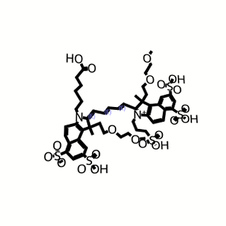 COCCOCCC1(C)C(/C=C/C=C/C=C2/N(CCCCCC(=O)O)c3ccc4c(S(=O)(=O)[O-])cc(S(=O)(=O)O)cc4c3C2(C)CCOCCOC)=[N+](CCCS(=O)(=O)O)c2ccc3c(S(=O)(=O)O)cc(S(=O)(=O)O)cc3c21